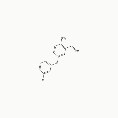 N=Cc1cc(Oc2cccc(Cl)c2)ccc1N